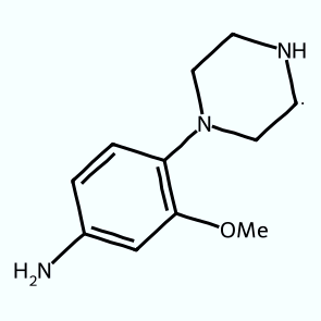 COc1cc(N)ccc1N1C[CH]NCC1